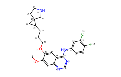 COc1cc2ncnc(Nc3ccc(F)c(Cl)c3)c2cc1OCCCC1CC12CCNC2